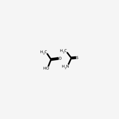 CC(=O)O.CC(N)=S